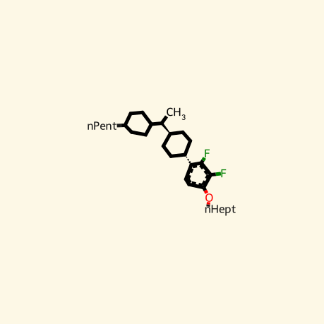 CCCCCCCOc1ccc([C@H]2CC[C@H](C(C)C3CCC(CCCCC)CC3)CC2)c(F)c1F